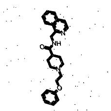 O=C(NCc1nccc2ccccc12)C1CCN(CCOc2ccccc2)CC1